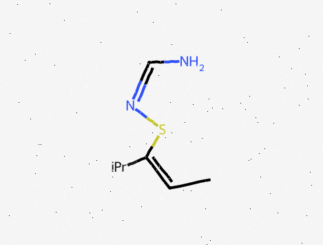 C/C=C(\S/N=C\N)C(C)C